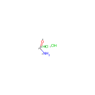 Cl.Cl.NC=O